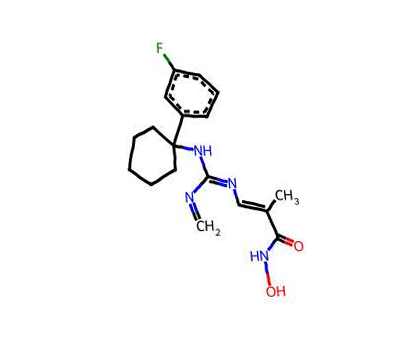 C=N/C(=N\C=C(/C)C(=O)NO)NC1(c2cccc(F)c2)CCCCC1